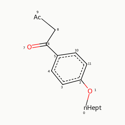 CCCCCCCOc1ccc(C(=O)CC(C)=O)cc1